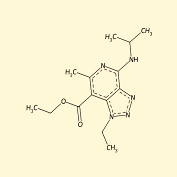 CCOC(=O)c1c(C)nc(NC(C)C)c2nnn(CC)c12